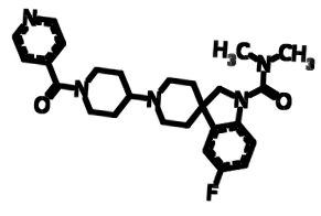 CN(C)C(=O)N1CC2(CCN(C3CCN(C(=O)c4ccncc4)CC3)CC2)c2cc(F)ccc21